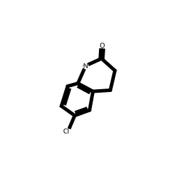 O=C1CCc2cc(Cl)ccc2[N]1